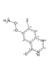 NOOc1cc2c(=O)[nH]cnc2cc1F